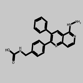 NNc1nccc2nc(-c3ccc(CNC(=O)O)cc3)c(-c3ccccc3)cc12